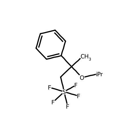 CC(C)OC(C)(CS(F)(F)(F)(F)F)c1ccccc1